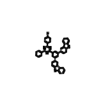 Fc1ccc(-c2nc(-c3ccccc3)nc(-c3cc(-c4ccc5sc6ccccc6c5c4)cc(-c4ccc5sc6ccccc6c5c4)c3)n2)cc1